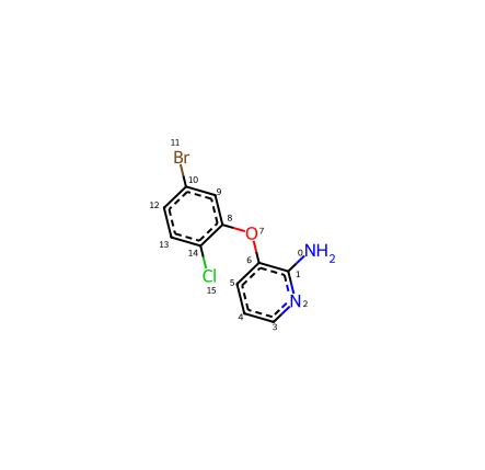 Nc1ncccc1Oc1cc(Br)ccc1Cl